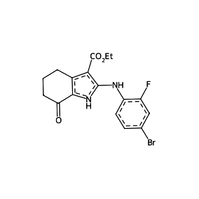 CCOC(=O)c1c(Nc2ccc(Br)cc2F)[nH]c2c1CCCC2=O